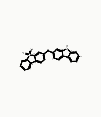 O=S1(=O)c2ccccc2-c2ccc(Cc3ccc4c(c3)oc3ccccc34)cc21